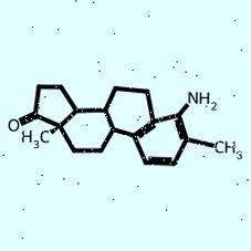 Cc1ccc2c(c1N)CCC1C2CC[C@]2(C)C(=O)CCC12